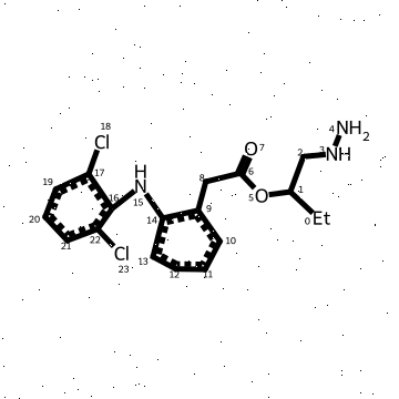 CCC(CNN)OC(=O)Cc1ccccc1Nc1c(Cl)cccc1Cl